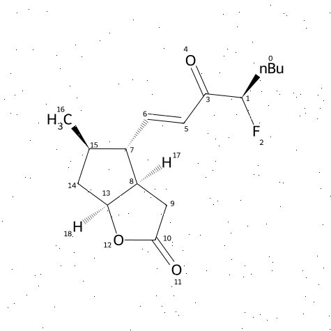 CCCC[C@@H](F)C(=O)C=C[C@@H]1[C@H]2CC(=O)O[C@H]2C[C@H]1C